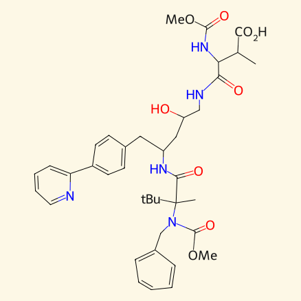 COC(=O)NC(C(=O)NCC(O)CC(Cc1ccc(-c2ccccn2)cc1)NC(=O)C(C)(N(Cc1ccccc1)C(=O)OC)C(C)(C)C)C(C)C(=O)O